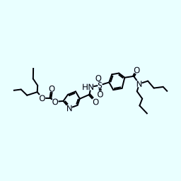 CCCCN(CCCC)C(=O)c1ccc(S(=O)(=O)NC(=O)c2ccc(OC(=O)OC(CCC)CCC)nc2)cc1